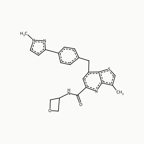 Cc1csc2c(Cc3ccc(-c4ccn(C)n4)cc3)cc(C(=O)NC3COC3)nc12